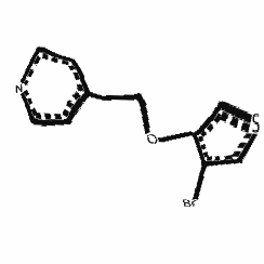 Brc1cscc1OCc1ccncc1